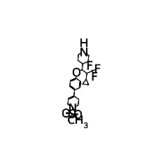 CS(=O)(=O)N1CC=C(c2ccc(OC(C3CCNCC3)C(C3CC3)C(F)(F)F)cc2)CC1